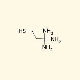 NC(N)(N)CCS